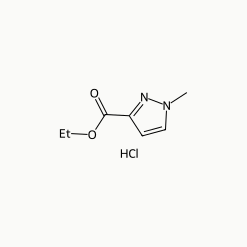 CCOC(=O)c1ccn(C)n1.Cl